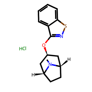 CN1[C@@H]2CC[C@H]1C[C@H](Oc1nsc3ccccc13)C2.Cl